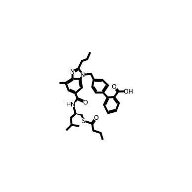 CCCC(=O)SC[C@@H](CC(C)C)NC(=O)c1cc(C)c2nc(CCC)n(Cc3ccc(-c4ccccc4C(=O)O)cc3)c2c1